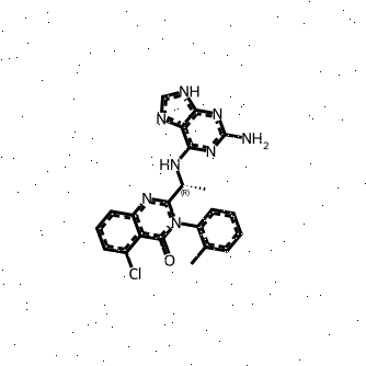 Cc1ccccc1-n1c([C@@H](C)Nc2nc(N)nc3[nH]cnc23)nc2cccc(Cl)c2c1=O